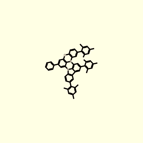 Cc1cc(C)c(-c2ccc3c(c2)B2c4c(cc(-c5ccccc5)cc4-n4c5ccc(-c6c(C)cc(C)cc6C)cc5c5cc(-c6c(C)cc(C)cc6C)cc2c54)O3)c(C)c1